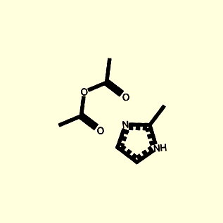 CC(=O)OC(C)=O.Cc1ncc[nH]1